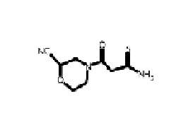 N#CC1CN(C(=O)CC(N)=S)CCO1